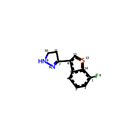 Fc1cccc2c(C3=NNCC3)csc12